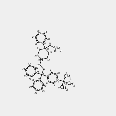 CC(C)(C)c1ccc(C(CCN2CCC(CN)(c3ccccc3)CC2)(c2ccccc2)c2ccccc2)cc1